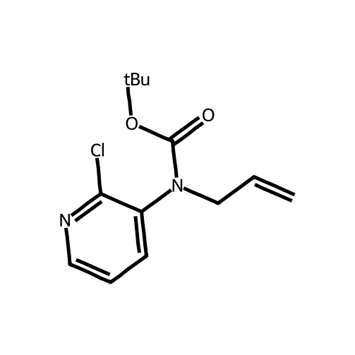 C=CCN(C(=O)OC(C)(C)C)c1cccnc1Cl